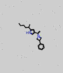 C=C(c1c[nH]c(C(C)CCCC)c1)N1CC(c2ccccc2)C1